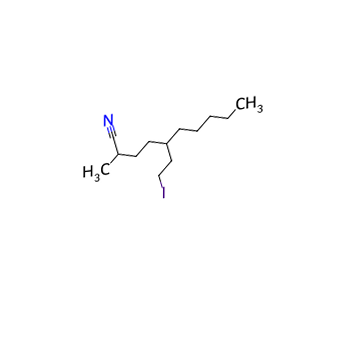 CCCCCC(CCI)CCC(C)C#N